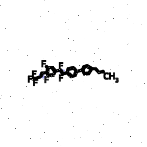 CCCCc1ccc(-c2ccc(/C(F)=C(\F)c3cc(F)c(/C=C/C(F)(F)F)c(F)c3)cc2)cc1